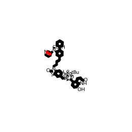 CC(C)(C)[Si](C)(C)O[C@@H](CNCc1ccc2c(c1)sc(=O)n2CCC=Cc1ccc(-c2ccccc2)c(N(C(=O)O)C2CN3CCC2CC3)c1)c1ccc(O)c2[nH]c(=O)ccc12